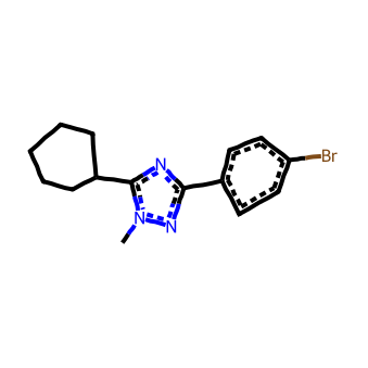 Cn1nc(-c2ccc(Br)cc2)nc1C1CCCCC1